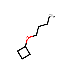 [CH2]CCCOC1CCC1